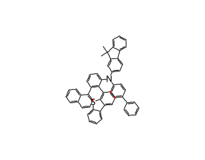 CC1(C)c2ccccc2-c2ccc(N(c3ccc(-c4ccccc4)cc3)c3cccc(-c4cccc5ccccc45)c3-c3cccc4c3sc3ccccc34)cc21